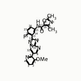 COc1cccnc1-c1cnc2nc(-c3cc(NC(=O)c4oc(C)nc4C)ccc3F)nn2c1